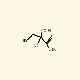 CCOC(=O)C(CC)(CC(C)C)C(=O)OCC(C)C